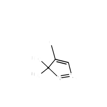 CC1(C)N=NC=C1Cl